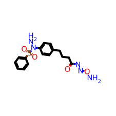 NON=NC(=O)CCCc1ccc(N(N)S(=O)(=O)c2ccccc2)cc1